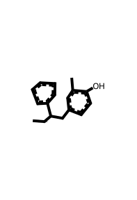 C[CH]C(Cc1ccc(O)c(C)c1)c1ccccc1